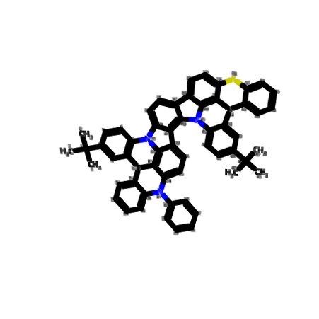 CC(C)(C)c1ccc2c(c1)B1c3ccccc3N(c3ccccc3)c3ccc4c5c(ccc6c7ccc8c9c7n(c65)-c5ccc(C(C)(C)C)cc5B9c5ccccc5S8)n-2c4c31